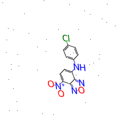 O=[N+]([O-])c1ccc(Nc2ccc(Cl)cc2)c2nonc12